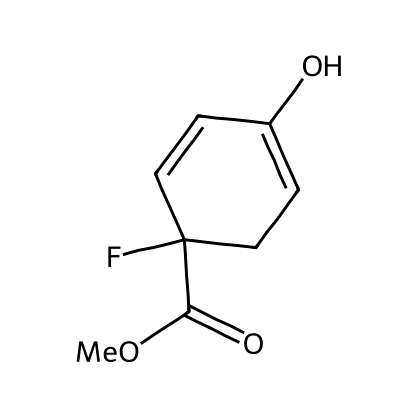 COC(=O)C1(F)C=CC(O)=CC1